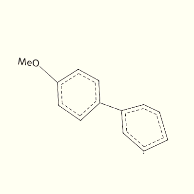 COc1ccc(-c2c[c]ccc2)cc1